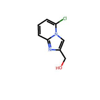 OCc1cn2c(Cl)cccc2n1